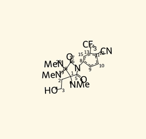 CNC1(CCO)C(=O)N(c2ccc(C#N)c(C(F)(F)F)c2)C(=O)C1(NC)NC